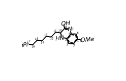 COc1ccc2c(c1)N=C(O)C(CCCCCCC(C)C)N2